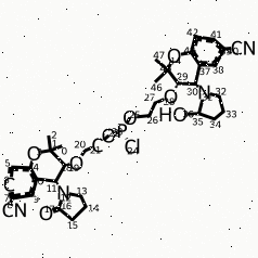 CC1(C)Oc2ccc(C#N)cc2[C@@H](N2CCCC2=O)[C@@H]1OCCOP(Cl)OCCO[C@H]1[C@H](N2CCCC2O)c2cc(C#N)ccc2OC1(C)C